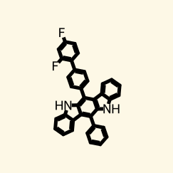 Fc1ccc(-c2ccc(-c3c4[nH]c5ccccc5c4c(-c4ccccc4)c4[nH]c5ccccc5c34)cc2)c(F)c1